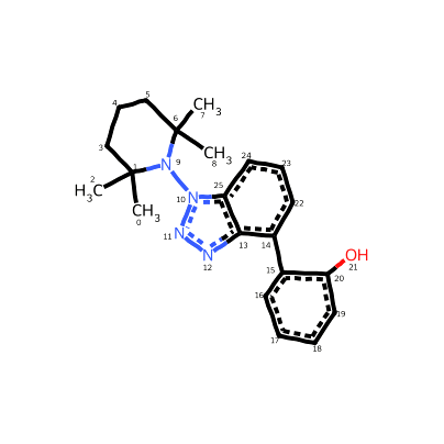 CC1(C)CCCC(C)(C)N1n1nnc2c(-c3ccccc3O)cccc21